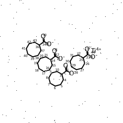 O=C([O-])C1CCCCCCC1.O=C([O-])C1CCCCCCC1.O=C([O-])C1CCCCCCC1.O=C([O-])C1CCCCCCC1.[Ti+4]